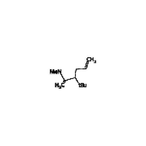 C=CCC(C(=C)NC)C(C)(C)C